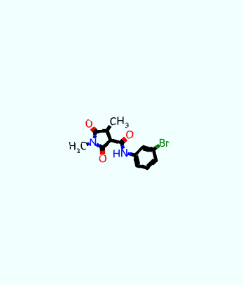 CC1C(=O)N(C)C(=O)C1C(=O)Nc1cccc(Br)c1